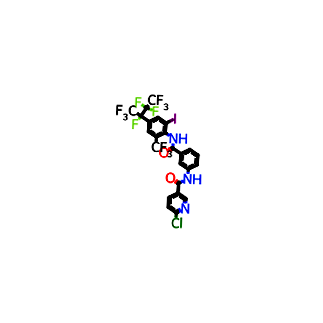 O=C(Nc1cccc(C(=O)Nc2c(I)cc(C(F)(C(F)(F)F)C(F)(F)C(F)(F)F)cc2C(F)(F)F)c1)c1ccc(Cl)nc1